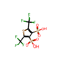 O=S(=O)(O)c1c(C(F)(F)F)sc(C(F)(F)F)c1S(=O)(=O)O